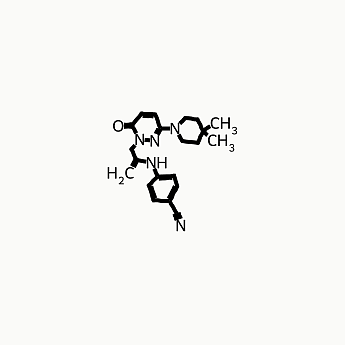 C=C(Cn1nc(N2CCC(C)(C)CC2)ccc1=O)Nc1ccc(C#N)cc1